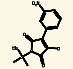 CC(C)(C)[Si](C)(C)N1C(=O)C(Cl)=C(c2cccc([N+](=O)[O-])c2)C1=O